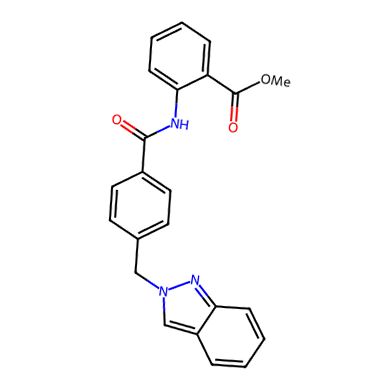 COC(=O)c1ccccc1NC(=O)c1ccc(Cn2cc3ccccc3n2)cc1